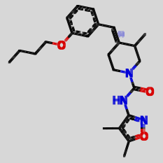 CCCCOc1cccc(/C=C2\CCN(C(=O)Nc3noc(C)c3C)CC2C)c1